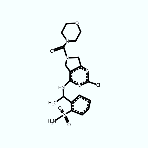 CC(Nc1nc(Cl)nc2c1CN(C(=O)N1CCOCC1)C2)c1ccccc1S(N)(=O)=O